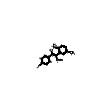 CC/C(=C(/OC)c1cc(C)ccc1N)c1ccc(F)cc1